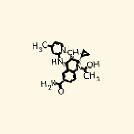 Cc1ccnc(N[C@H]2c3cc(C(N)=O)ccc3N(C(C)O)[C@@H](C3CC3)[C@@H]2C)c1